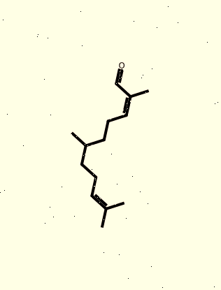 CC(C)=CCCC(C)CCC=C(C)C=O